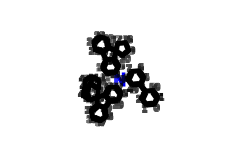 c1ccc(-c2cccc(N(c3ccc4c(c3)C3(CCCC3)c3ccccc3-4)c3ccc4c(c3)C3(c5ccccc5-4)C4CC5CC(C4)CC3C5)c2)cc1